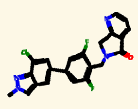 Cn1cc2cc(-c3cc(F)c(CN4Cc5ncccc5C4=O)c(F)c3)cc(Cl)c2n1